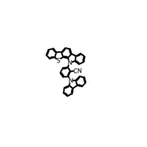 N#Cc1c(-n2c3ccccc3c3ccccc32)cccc1-n1c2ccccc2c2ccc3c4ccccc4sc3c21